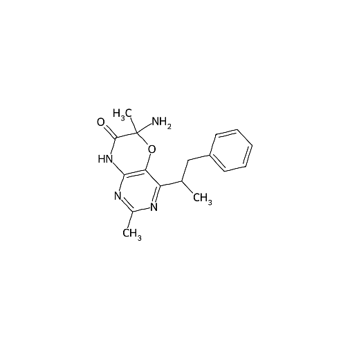 Cc1nc2c(c(C(C)Cc3ccccc3)n1)OC(C)(N)C(=O)N2